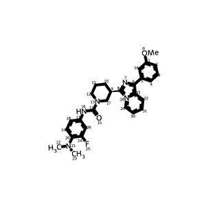 COc1cccc(-c2nc([C@@H]3CCCN(C(=O)Nc4ccc(N(C)C)c(F)c4)C3)n3ccccc23)c1